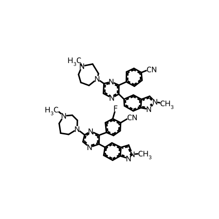 CN1CCCN(c2cnc(-c3ccc4nn(C)cc4c3)c(-c3ccc(C#N)c(F)c3)n2)CC1.CN1CCCN(c2cnc(-c3ccc4nn(C)cc4c3)c(-c3ccc(C#N)cc3)n2)CC1